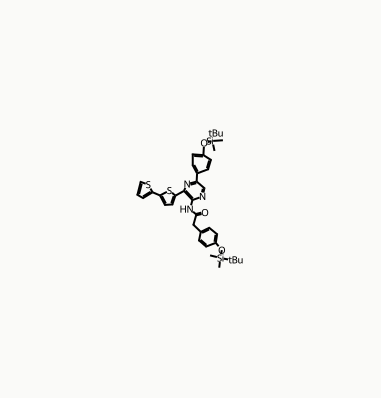 CC(C)(C)[Si](C)(C)Oc1ccc(CC(=O)Nc2ncc(-c3ccc(O[Si](C)(C)C(C)(C)C)cc3)nc2-c2ccc(-c3cccs3)s2)cc1